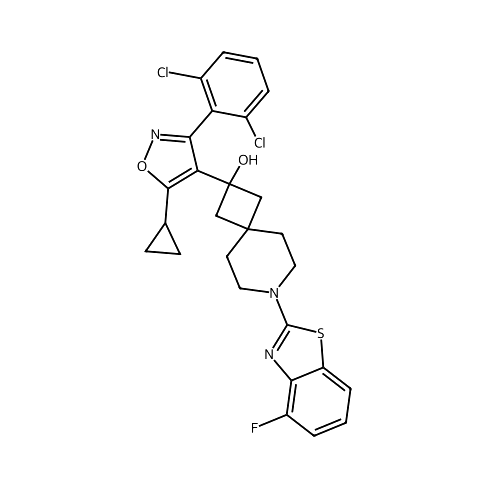 OC1(c2c(-c3c(Cl)cccc3Cl)noc2C2CC2)CC2(CCN(c3nc4c(F)cccc4s3)CC2)C1